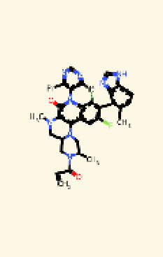 C=CC(=O)N1CC2CN(C)c3c(c4cc(F)c(-c5c(C)ccc6[nH]cnc56)c(Cl)c4n(-c4c(C(C)C)ncnc4C(C)C)c3=O)N2CC1C